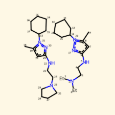 CCN(CC)CCNc1cc(C)n(C2CCCCC2)n1.Cc1cc(NCCN2CCCC2)nn1C1CCCCC1